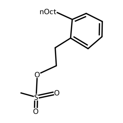 CCCCCCCCc1ccccc1CCOS(C)(=O)=O